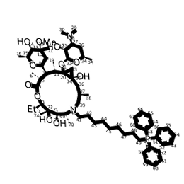 CC[C@H]1OC(=O)[C@H](C)[C@@H](C2C[C@@](C)(OC)[C@@H](O)[C@H](C)O2)[C@H](C)C2(O[C@@H]3O[C@H](C)C[C@H](N(C)C)[C@H]3O)C[C@@]2(O)C[C@@H](C)CN(CCCCCCCCC[PH](c2ccccc2)(c2ccccc2)c2ccccc2)[C@H](C)[C@@H](O)[C@]1(C)O